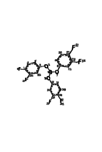 Fc1ccc(OB(Oc2ccc(F)c(F)c2)Oc2ccc(F)c(F)c2)cc1F